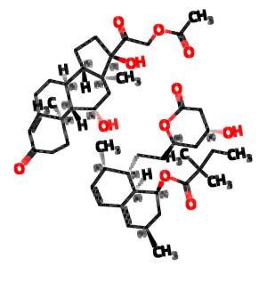 CC(=O)OCC(=O)[C@@]1(O)CC[C@H]2[C@@H]3CCC4=CC(=O)CC[C@]4(C)[C@H]3[C@@H](O)C[C@@]21C.CCC(C)(C)C(=O)O[C@H]1C[C@@H](C)C=C2C=C[C@H](C)[C@H](CC[C@@H]3C[C@@H](O)CC(=O)O3)[C@H]21